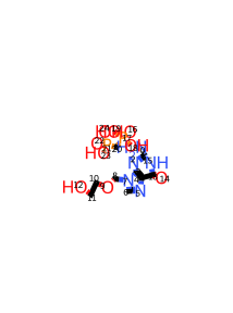 Nc1nc2c(ncn2COCCO)c(=O)[nH]1.O=P(O)(O)CP(=O)(O)O